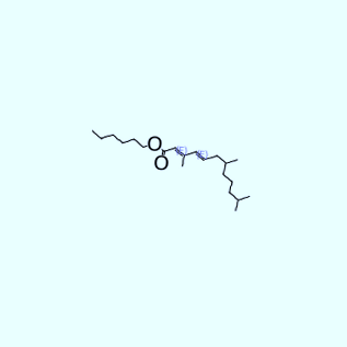 CCCCCCOC(=O)/C=C(C)/C=C/CC(C)CCCC(C)C